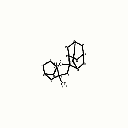 CC1(CC2(C(F)(F)F)CC3CCC2C3)C2CC3CC(C2)CC1C3